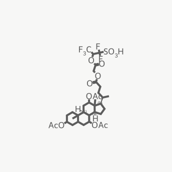 CC(=O)OC1CCC2(C)C(C1)CC(OC(C)=O)C1[C@@H]2CC(OC(C)=O)C2(C)[C@@H](C(C)CCC(=O)OCC(=O)OC(C(F)(F)F)C(F)(F)S(=O)(=O)O)CC[C@@H]12